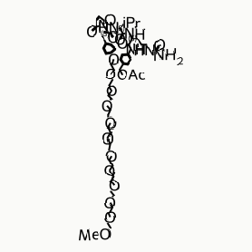 COCCOCCOCCOCCOCCOCCOCCOCCOCCOCCOCCOc1ccc(C[C@@H](C(=O)N[C@H](C(=O)N[C@@H](CCCNC(N)=O)C(=O)Nc2ccc(COC(C)=O)cc2)C(C)C)N2C(=O)C=CC2=O)cc1